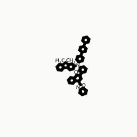 CC1(C)c2ccccc2-c2ccc(N(c3ccc(-c4ccc(-c5ccccc5)cc4)cc3)c3cccc4c3oc3c5ccccc5c(-c5nc6ccccc6o5)cc43)cc21